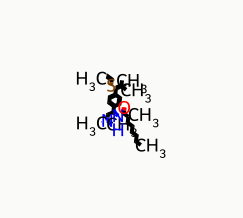 C/C=C\SC(=C(C)C)c1ccc(C(CN(C)C)NC(=O)C(C)CCCCCC)cc1